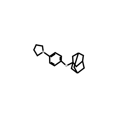 c1cc(N2CCCC2)ccc1OC12CC3CC(CC(C3)C1)C2